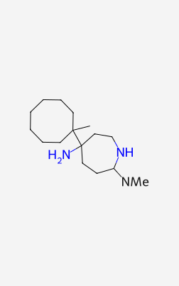 CNC1CCC(N)(C2(C)CCCCCCC2)CCN1